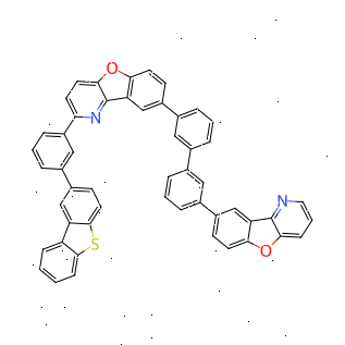 c1cc(-c2cccc(-c3ccc4oc5ccc(-c6cccc(-c7ccc8sc9ccccc9c8c7)c6)nc5c4c3)c2)cc(-c2ccc3oc4cccnc4c3c2)c1